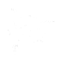 C=CCc1ccccc1.C=O.O=S(=O)(O)c1cccc2ccccc12